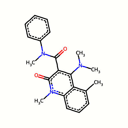 Cc1cccc2c1c(N(C)C)c(C(=O)N(C)c1ccccc1)c(=O)n2C